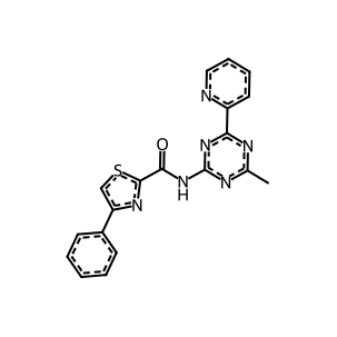 Cc1nc(NC(=O)c2nc(-c3ccccc3)cs2)nc(-c2ccccn2)n1